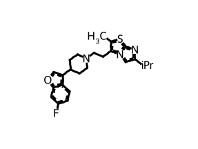 Cc1sc2nc(C(C)C)cn2c1CCN1CCC(c2coc3cc(F)ccc23)CC1